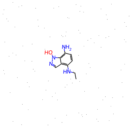 CCNc1ccc(N)c2c1cnn2O